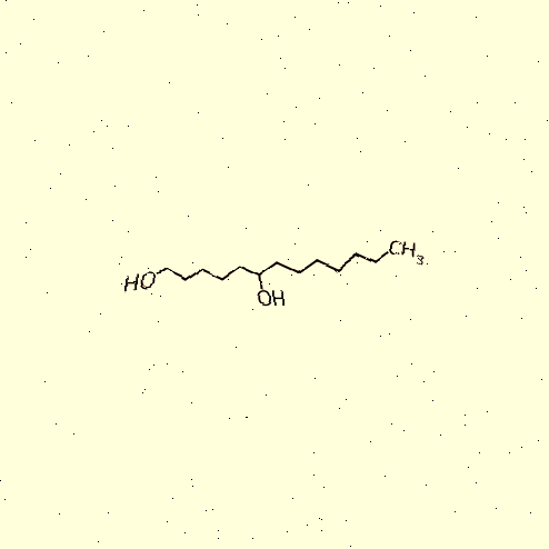 CCCCCCCC(O)CCCCCO